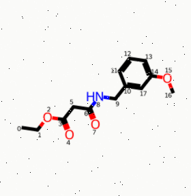 CCOC(=O)CC(=O)NCc1cccc(OC)c1